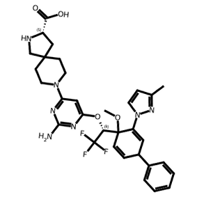 COC1([C@@H](Oc2cc(N3CCC4(CC3)CN[C@H](C(=O)O)C4)nc(N)n2)C(F)(F)F)C=CC(c2ccccc2)C=C1n1ccc(C)n1